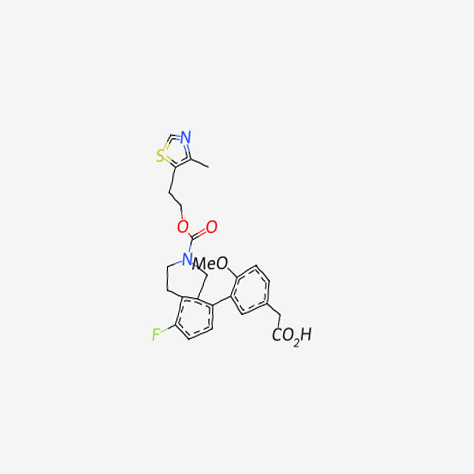 COc1ccc(CC(=O)O)cc1-c1ccc(F)c2c1CN(C(=O)OCCc1scnc1C)CC2